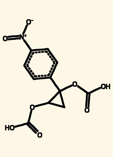 O=C(O)OC1CC1(OC(=O)O)c1ccc([N+](=O)[O-])cc1